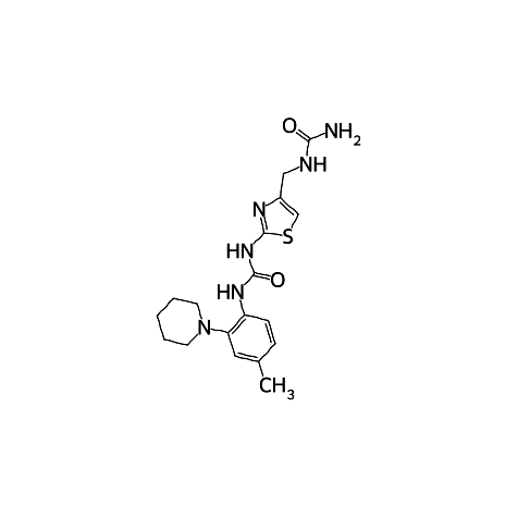 Cc1ccc(NC(=O)Nc2nc(CNC(N)=O)cs2)c(N2CCCCC2)c1